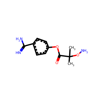 CC(C)(ON)C(=O)Oc1ccc(C(=N)N)cc1